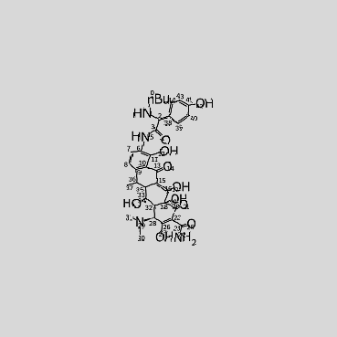 CCCCNC(C(=O)Nc1ccc2c(c1O)C(=O)C1=C(O)C3(O)C(=O)C(C(N)=O)=C(O)[C@@H](N(C)C)C3C(O)C1C2C)c1ccc(O)cc1